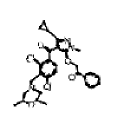 CC1CN(Cc2c(Cl)ccc(C(=O)c3c(C4CC4)nn(C)c3OCC(=O)c3ccccc3)c2Cl)CC(C)O1